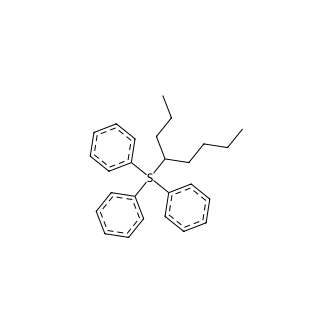 CCCCC(CCC)S(c1ccccc1)(c1ccccc1)c1ccccc1